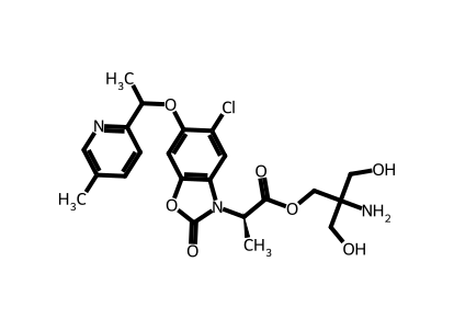 Cc1ccc(C(C)Oc2cc3oc(=O)n([C@H](C)C(=O)OCC(N)(CO)CO)c3cc2Cl)nc1